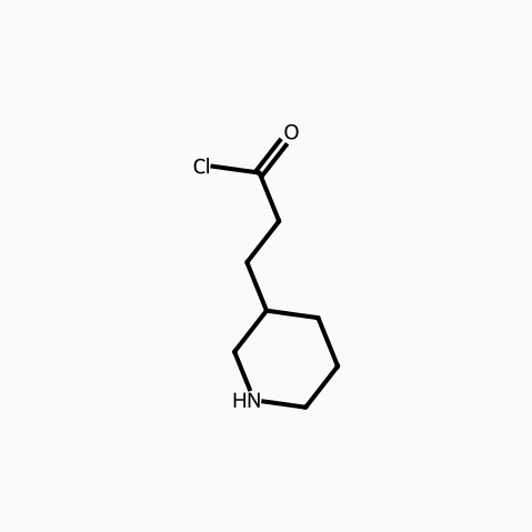 O=C(Cl)CCC1CCCNC1